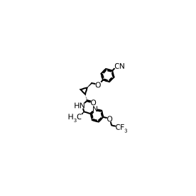 C[C@@H](NC(=O)[C@@H]1C[C@H]1COc1ccc(C#N)cc1)c1ccc(OCC(F)(F)F)cn1